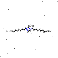 CCCCCCCCCCCCCCCCCCN1C=CN(CCCCCCCCCCCCCCCCCC)C1CCCCCCCCCC